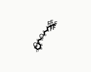 FC(F)(F)C(F)(F)CCCCOCCC1CCCCO1